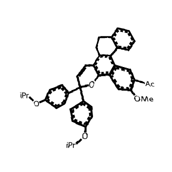 COc1cc2c3c(c4c(c2cc1C(C)=O)-c1ccccc1CC4)C=CC(c1ccc(OC(C)C)cc1)(c1ccc(OC(C)C)cc1)O3